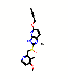 CC#CCOc1ccc2nc([S+]([O-])Cc3nccc(OC)c3C)[nH]c2n1.[NaH]